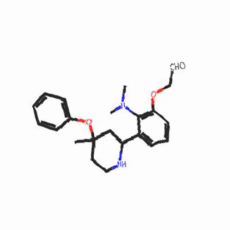 CN(C)c1c(OCC=O)cccc1C1CC(C)(Oc2ccccc2)CCN1